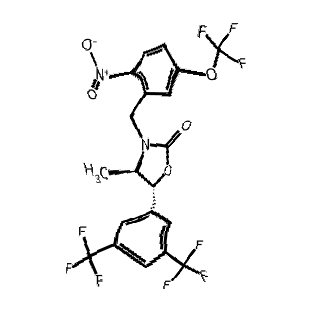 C[C@@H]1[C@@H](c2cc(C(F)(F)F)cc(C(F)(F)F)c2)OC(=O)N1Cc1cc(OC(F)(F)F)ccc1[N+](=O)[O-]